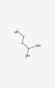 CCCC[CH]C(O)O